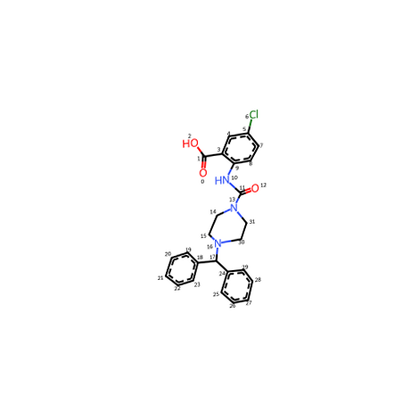 O=C(O)c1cc(Cl)ccc1NC(=O)N1CCN(C(c2ccccc2)c2ccccc2)CC1